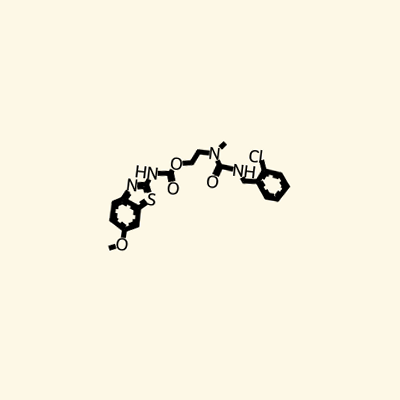 COc1ccc2nc(NC(=O)OCCN(C)C(=O)NCc3ccccc3Cl)sc2c1